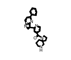 O=C(c1ccnc(-c2cnn3ccc(-c4ccccc4)nc23)c1)N1CCCC12CCCNC2